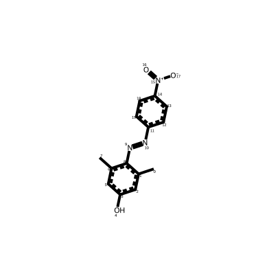 Cc1cc(O)cc(C)c1N=Nc1ccc([N+](=O)[O-])cc1